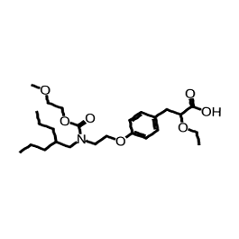 CCCC(CCC)CN(CCOc1ccc(CC(OCC)C(=O)O)cc1)C(=O)OCCOC